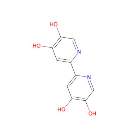 Oc1cnc(-c2cc(O)c(O)cn2)cc1O